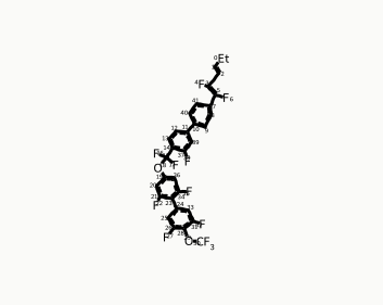 CC/C=C/C(F)=C(\F)c1ccc(-c2ccc(C(F)(F)Oc3cc(F)c(-c4cc(F)c(OC(F)(F)F)c(F)c4)c(F)c3)c(F)c2)cc1